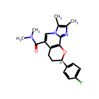 Cc1nc2c3c(c(C(=O)N(C)C)cn2c1C)CC[C@H](c1ccc(F)cc1)O3